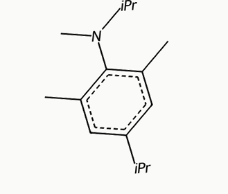 Cc1cc(C(C)C)cc(C)c1N(C)C(C)C